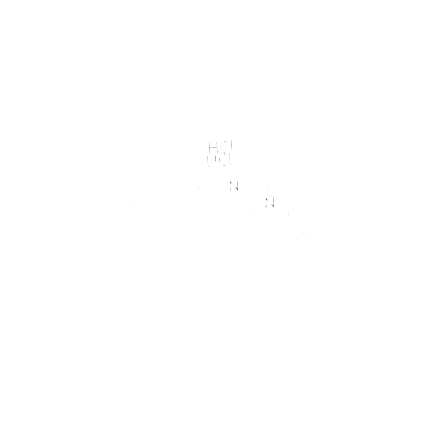 Cl.Cl.c1ccc(CCCN2CCN(C3CCCC3)CC2)cc1